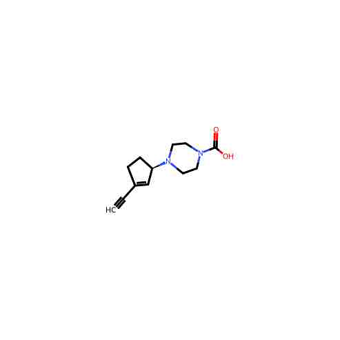 C#CC1=C[C@H](N2CCN(C(=O)O)CC2)CC1